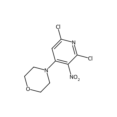 O=[N+]([O-])c1c(N2CCOCC2)cc(Cl)nc1Cl